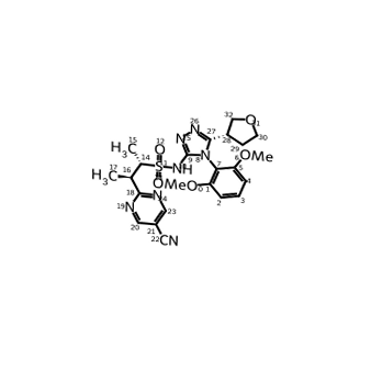 COc1cccc(OC)c1-n1c(NS(=O)(=O)[C@@H](C)[C@H](C)c2ncc(C#N)cn2)nnc1[C@H]1CCOC1